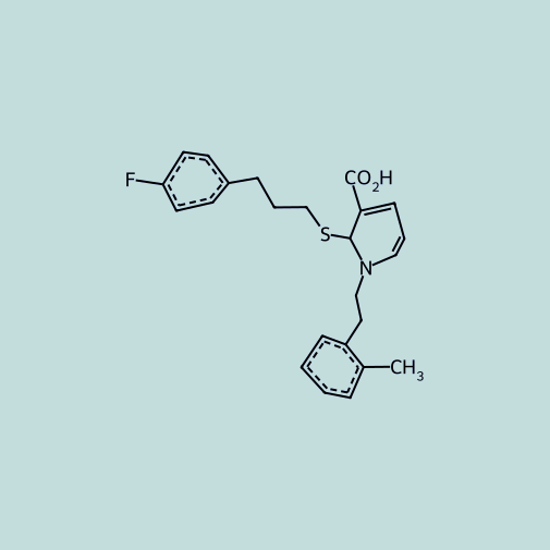 Cc1ccccc1CCN1C=CC=C(C(=O)O)C1SCCCc1ccc(F)cc1